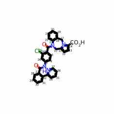 O=C(Nc1ccc(C(=O)N2Cc3ccc(C(=O)O)n3Cc3ccccc32)c(Cl)c1)c1ccccc1-c1ccccn1